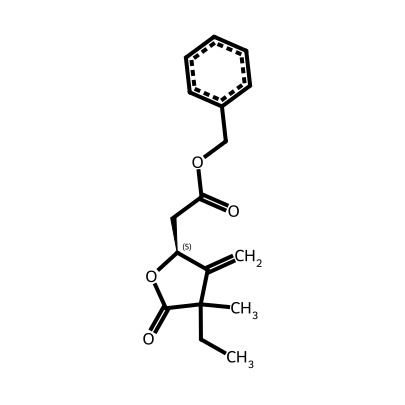 C=C1[C@H](CC(=O)OCc2ccccc2)OC(=O)C1(C)CC